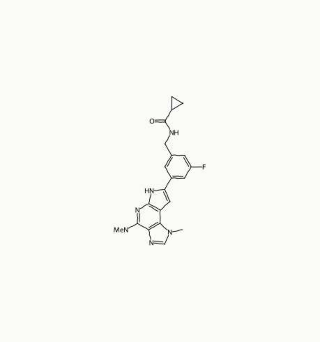 CNc1nc2[nH]c(-c3cc(F)cc(CNC(=O)C4CC4)c3)cc2c2c1ncn2C